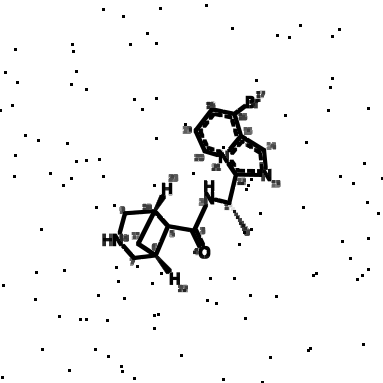 C[C@H](NC(=O)C1[C@@H]2CNC[C@H]1C2)c1ncc2c(Br)cccn12